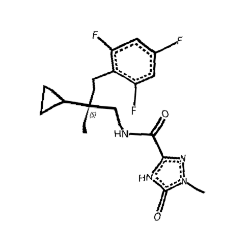 Cn1nc(C(=O)NC[C@@](C)(Cc2c(F)cc(F)cc2F)C2CC2)[nH]c1=O